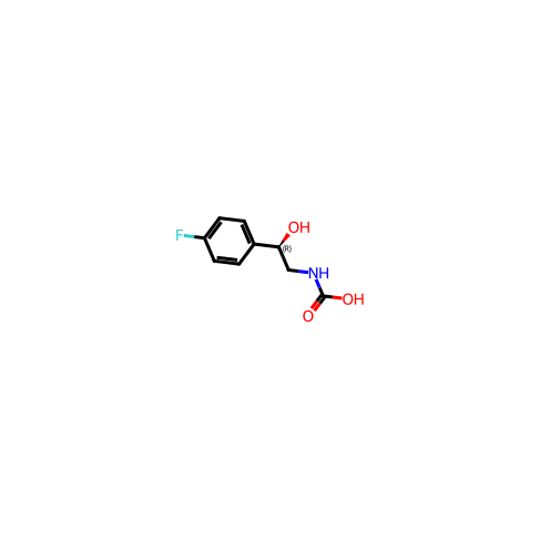 O=C(O)NC[C@H](O)c1ccc(F)cc1